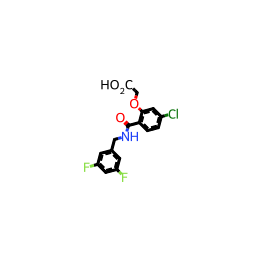 O=C(O)COc1cc(Cl)ccc1C(=O)NCc1cc(F)cc(F)c1